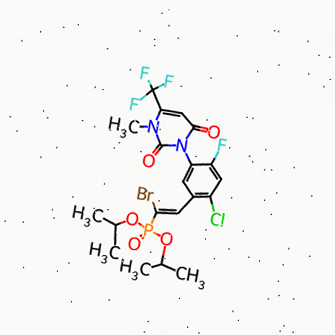 CC(C)OP(=O)(OC(C)C)C(Br)=Cc1cc(-n2c(=O)cc(C(F)(F)F)n(C)c2=O)c(F)cc1Cl